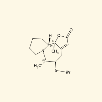 CC(C)SC1CC2=CC(=O)O[C@]2(C)[C@H]2CCCCN2[C@H]1C